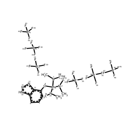 CN(C)[PH](Oc1cccc2[nH]nnc12)(N(C)C)N(C)C.F[B-](F)(F)F.F[B-](F)(F)F.F[B-](F)(F)F.F[B-](F)(F)F.F[B-](F)(F)F.F[B-](F)(F)F